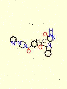 Cc1c(N2Cc3ccccc3C2COc2cccc(C(=O)N3CCN(c4ccccn4)CC3)c2)cn[nH]c1=O